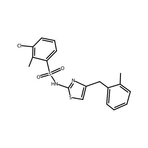 Cc1ccccc1Cc1csc(NS(=O)(=O)c2cccc(Cl)c2C)n1